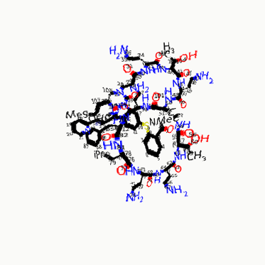 CNC(=O)c1ccccc1Sc1ccc2c(/C=C/c3ccccn3)nn(C(=O)N(CCC(=O)N[C@H](CCN)C(=O)N[C@H](C(=O)N[C@H](CCN)C(=O)N[C@H]3CCNC(=O)[C@@H]([C@@H](C)O)NC(=O)[C@@H](CCN)NC(=O)[C@@H](CCN)NC(=O)[C@@H](CC(C)C)NC(=O)[C@@H](Cc4ccccc4)NC(=O)[C@@H](CCN)NC3=O)[C@@H](C)O)C[C@@H](CCSC)NC=O)c2c1